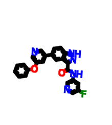 O=C(Nc1cncc(F)c1)c1n[nH]c2ccc(-c3cncc(Oc4ccccc4)c3)cc12